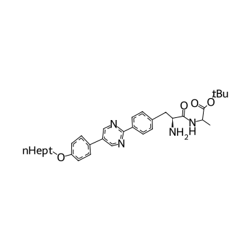 CCCCCCCOc1ccc(-c2cnc(-c3ccc(C[C@H](N)C(=O)NC(C)C(=O)OC(C)(C)C)cc3)nc2)cc1